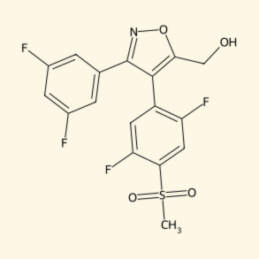 CS(=O)(=O)c1cc(F)c(-c2c(-c3cc(F)cc(F)c3)noc2CO)cc1F